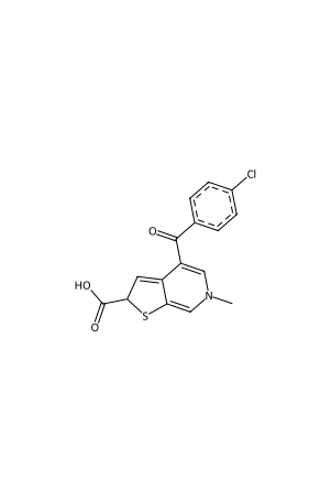 CN1C=C2SC(C(=O)O)C=C2C(C(=O)c2ccc(Cl)cc2)=C1